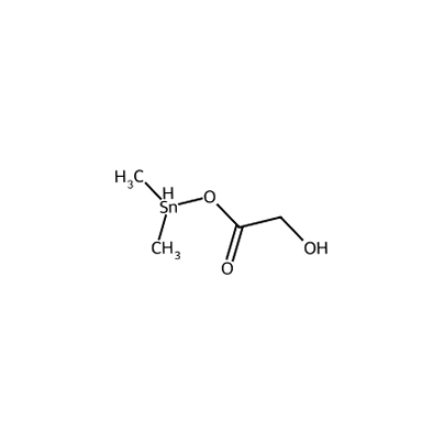 [CH3][SnH]([CH3])[O]C(=O)CO